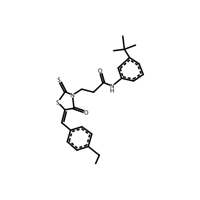 CCc1ccc(/C=C2/SC(=S)N(CCC(=O)Nc3cccc(C(C)(C)C)c3)C2=O)cc1